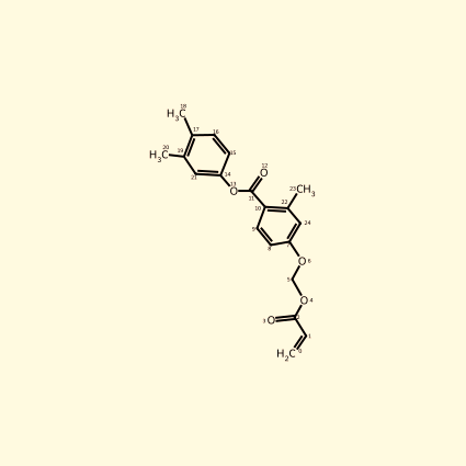 C=CC(=O)OCOc1ccc(C(=O)Oc2ccc(C)c(C)c2)c(C)c1